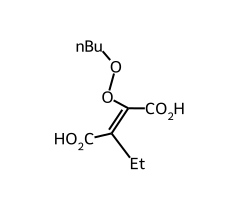 CCCCOO/C(C(=O)O)=C(/CC)C(=O)O